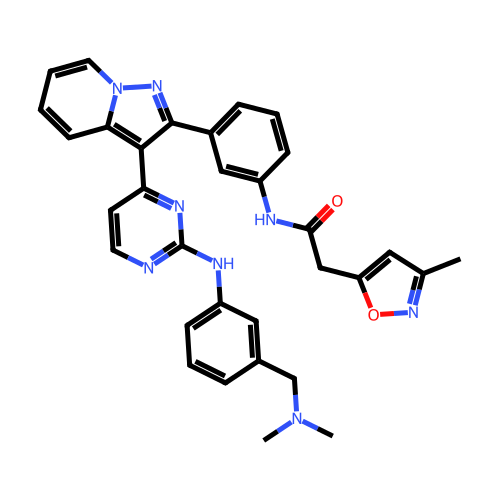 Cc1cc(CC(=O)Nc2cccc(-c3nn4ccccc4c3-c3ccnc(Nc4cccc(CN(C)C)c4)n3)c2)on1